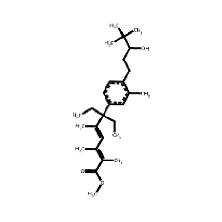 CCC(CC)(/C(C)=C/C(C)=C(\C)C(=O)OC)c1ccc(CCC(O)C(C)(C)C)c(C)c1